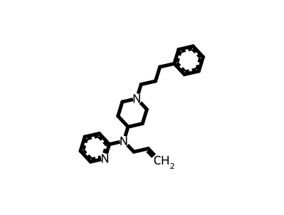 C=CCN(c1ccccn1)C1CCN(CCCc2ccccc2)CC1